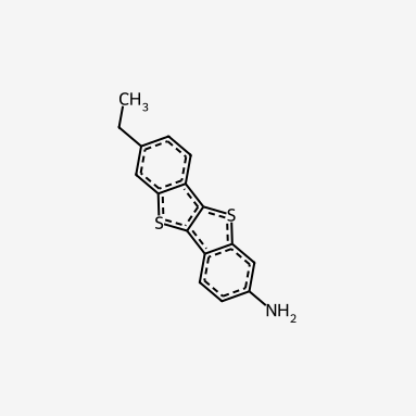 CCc1ccc2c(c1)sc1c3ccc(N)cc3sc21